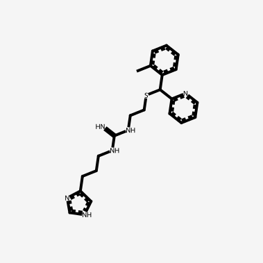 Cc1ccccc1C(SCCNC(=N)NCCCc1c[nH]cn1)c1ccccn1